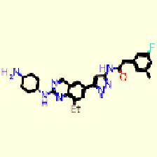 CCc1cc(-c2cc(NC(=O)Cc3cc(C)cc(F)c3)nn2C)cc2cnc(N[C@H]3CC[C@H](N)CC3)nc12